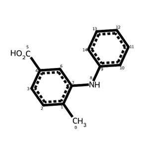 Cc1ccc(C(=O)O)cc1Nc1ccccc1